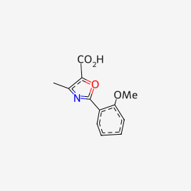 COc1ccccc1-c1nc(C)c(C(=O)O)o1